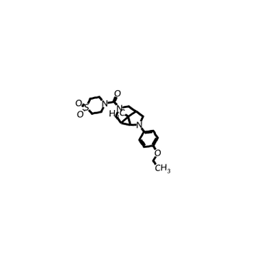 CCOc1ccc(N2CC3CN(C(=O)N4CCS(=O)(=O)CC4)CC4C2C34C)cc1